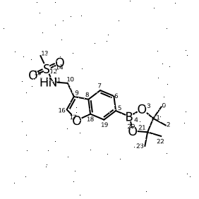 CC1(C)OB(c2ccc3c(CNS(C)(=O)=O)coc3c2)OC1(C)C